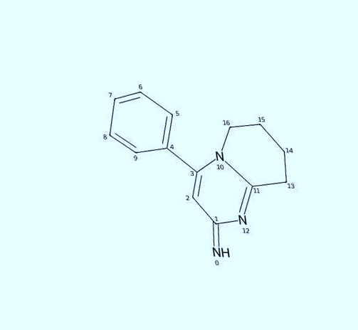 N=c1cc(-c2ccccc2)n2c(n1)CCCC2